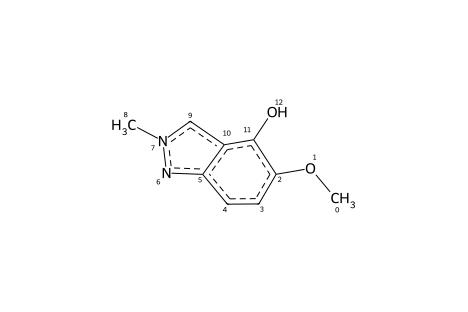 COc1ccc2nn(C)cc2c1O